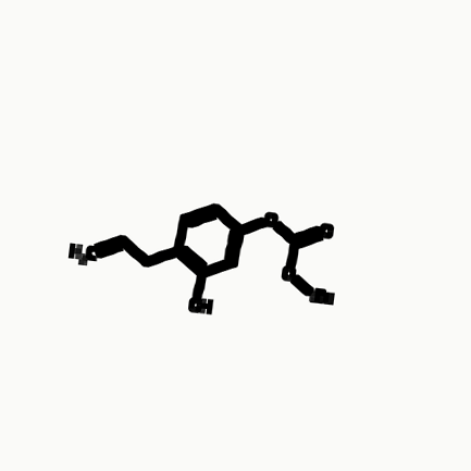 C=CCc1ccc(OC(=O)OC(C)(C)C)cc1O